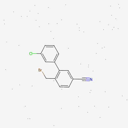 N#Cc1ccc(CBr)c(-c2cccc(Cl)c2)c1